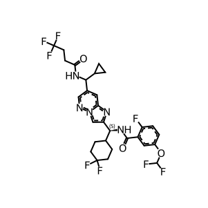 O=C(CCC(F)(F)F)NC(c1cnn2cc([C@@H](NC(=O)c3cc(OC(F)F)ccc3F)C3CCC(F)(F)CC3)nc2c1)C1CC1